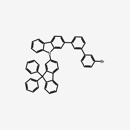 Brc1cccc(-c2cccc(-c3ccc4c5ccccc5n(-c5ccc6c(c5)C(c5ccccc5)(c5ccccc5)c5ccccc5-6)c4c3)c2)c1